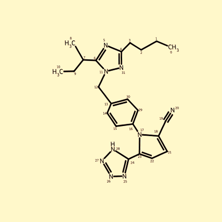 CCCCc1nc(C(C)CC)n(Cc2ccc(-n3c(C#N)ccc3-c3nnn[nH]3)cc2)n1